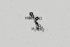 CC(C)(C)OC(=O)N1CC(Oc2cc(Cl)ccc2OC2Cc3ccccc3/C2=N\O)C1